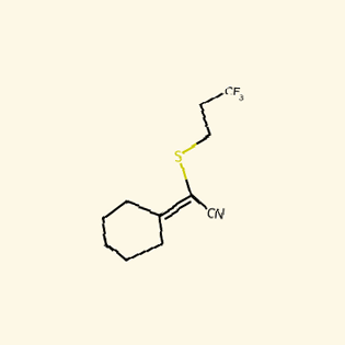 N#CC(SCCC(F)(F)F)=C1CCCCC1